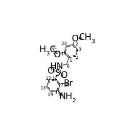 COc1ccc(CNS(=O)(=O)c2cccc(N)c2Br)c(OC)c1